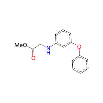 COC(=O)CNc1cccc(Oc2ccccc2)c1